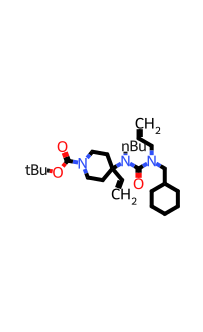 C=CCN(CC1CCCCC1)C(=O)N(CCCC)C1(C=C)CCN(C(=O)OC(C)(C)C)CC1